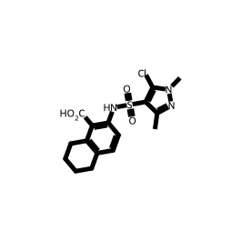 Cc1nn(C)c(Cl)c1S(=O)(=O)Nc1ccc2c(c1C(=O)O)CCCC2